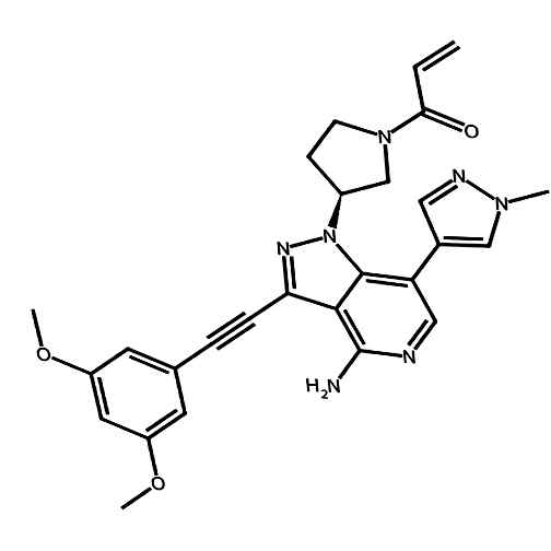 C=CC(=O)N1CC[C@H](n2nc(C#Cc3cc(OC)cc(OC)c3)c3c(N)ncc(-c4cnn(C)c4)c32)C1